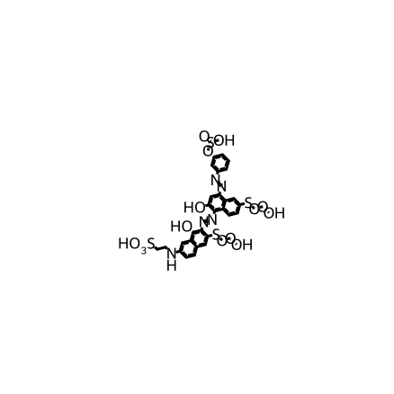 O=S(O)Oc1cccc(N=Nc2cc(O)c(N=Nc3c(SOOO)cc4ccc(NCCS(=O)(=O)O)cc4c3O)c3ccc(SOOO)cc23)c1